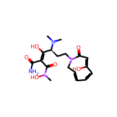 CN(C)[C@@H](CCI1C/C=C/C=C\C(O)=C\C1=O)/C(O)=C(/C(N)=O)C(=O)I(C)O